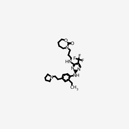 CCc1cc(CCN2CCCC2)ccc1Nc1ncc(C(F)(F)F)c(NCCCN2CCCCOC2=O)n1